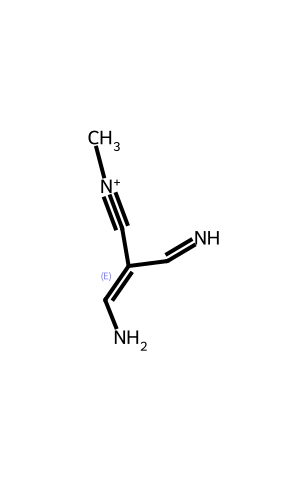 C[N+]#C/C(C=N)=C/N